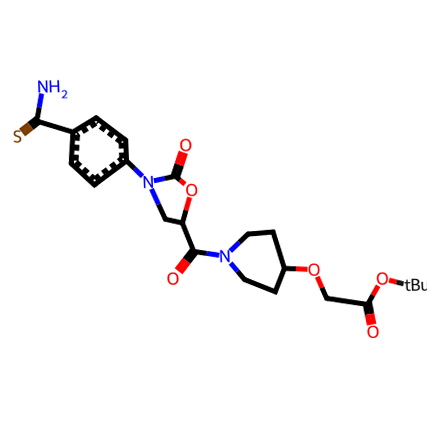 CC(C)(C)OC(=O)COC1CCN(C(=O)C2CN(c3ccc(C(N)=S)cc3)C(=O)O2)CC1